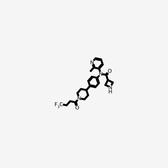 Cc1ncccc1N(C(=O)C1CNC1)c1ccc(C2CCN(C(=O)CCC(F)(F)F)CC2)cc1